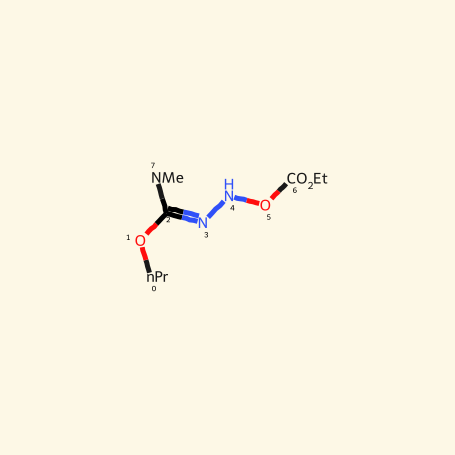 CCCOC(=NNOC(=O)OCC)NC